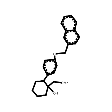 COCC1(O)CCCCC1c1ccc(OCc2ccc3ccccc3c2)cc1